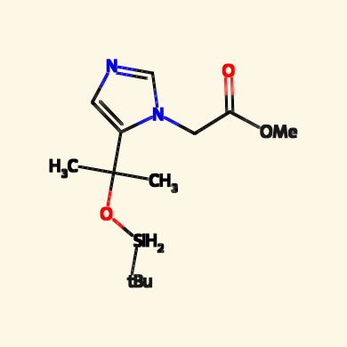 COC(=O)Cn1cncc1C(C)(C)O[SiH2]C(C)(C)C